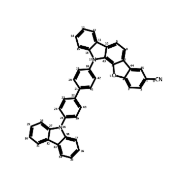 N#Cc1ccc2oc3c(ccc4c5ccccc5n(-c5ccc(-c6ccc(-n7c8ccccc8c8ccccc87)cc6)cc5)c43)c2c1